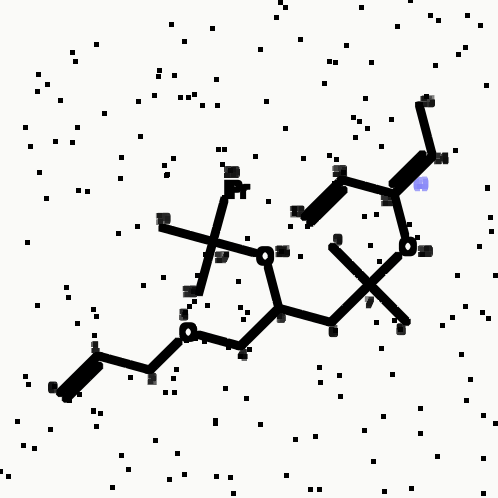 C=CCOCC(CC(C)(C)O/C(C=C)=C/C)OC(C)(C)C(C)C